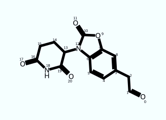 O=CCc1ccc2c(c1)oc(=O)n2C1CCC(=O)NC1=O